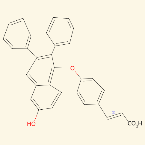 O=C(O)/C=C/c1ccc(Oc2c(-c3ccccc3)c(-c3ccccc3)cc3cc(O)ccc23)cc1